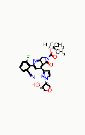 CC(C)(C)OC(=O)N1Cc2nc(-c3c(F)cccc3C#N)cc(-c3ccn([C@@H]4COC[C@@H]4O)n3)c2C1=O